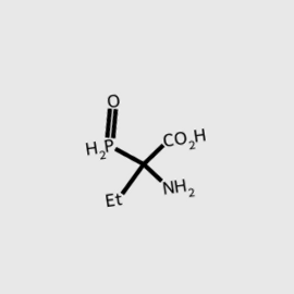 CCC(N)([PH2]=O)C(=O)O